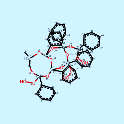 C[SiH]1CO[Si](OO)(c2ccccc2)O[Si]2(c3ccccc3)O[Si](OO)(c3ccccc3)O[Si](O[SiH](OO)c3ccccc3)(c3ccccc3)O[Si](c3ccccc3)(O1)O2